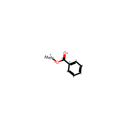 CNOC(=O)c1ccccc1